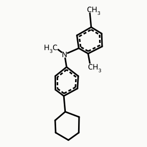 Cc1ccc(C)c(N(C)c2ccc(C3CCCCC3)cc2)c1